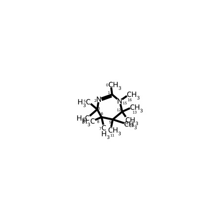 CC1=NC(C)(C)C(C)(C)C(C)(C)C(C)(C)N1C